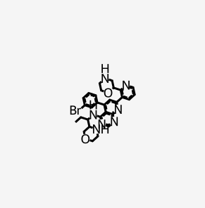 CCC(Nc1ncnc2nc(-c3cccnc3C3CNCCO3)cc(-c3cccc(Br)c3)c12)C1COCCN1